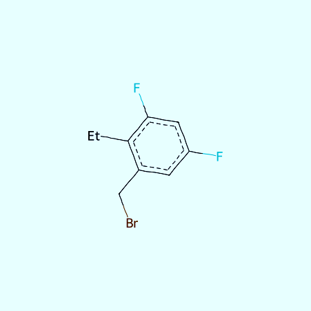 CCc1c(F)cc(F)cc1CBr